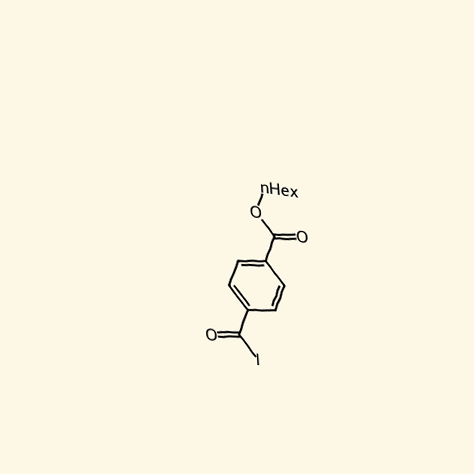 CCCCCCOC(=O)c1ccc(C(=O)I)cc1